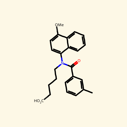 COc1ccc(N(CCCCC(=O)O)C(=O)c2cccc(C)c2)c2ccccc12